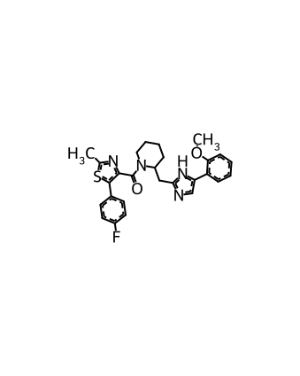 COc1ccccc1-c1cnc(CC2CCCCN2C(=O)c2nc(C)sc2-c2ccc(F)cc2)[nH]1